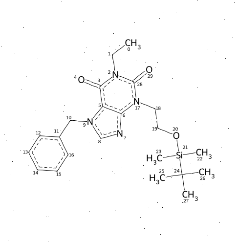 CCn1c(=O)c2c(ncn2Cc2ccccc2)n(CCO[Si](C)(C)C(C)(C)C)c1=O